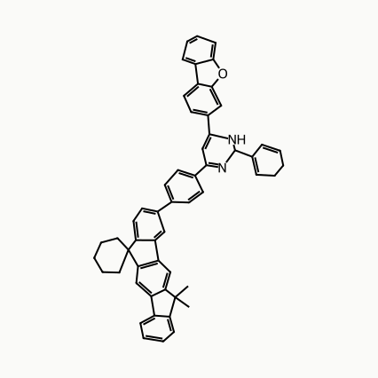 CC1(C)c2ccccc2-c2cc3c(cc21)-c1cc(-c2ccc(C4=NC(C5=CCCC=C5)NC(c5ccc6c(c5)oc5ccccc56)=C4)cc2)ccc1C31CCCCC1